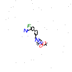 C[C@H]1CN(Cc2cccc(-c3ccc(F)c(C#N)c3)c2)CCN1C(=O)OC(C)(C)C